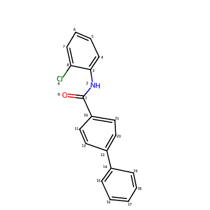 O=C(Nc1ccccc1Cl)c1ccc(-c2ccccc2)cc1